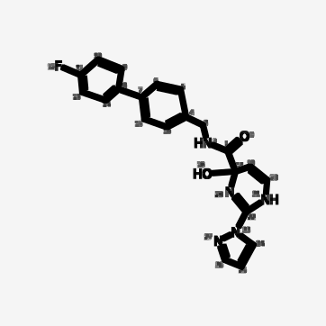 O=C(NCc1ccc(-c2ccc(F)cc2)cc1)C1(O)C=CNC(n2cccn2)=N1